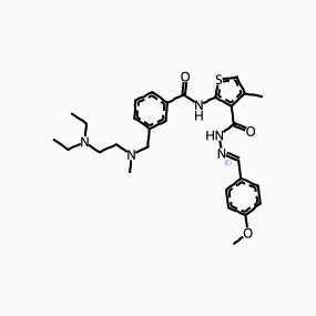 CCN(CC)CCN(C)Cc1cccc(C(=O)Nc2scc(C)c2C(=O)N/N=C/c2ccc(OC)cc2)c1